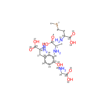 CC(N)C(=O)O.CSCCC(N)C(=O)O.NC(Cc1ccc(O)cc1)C(=O)O.NCC(=O)O